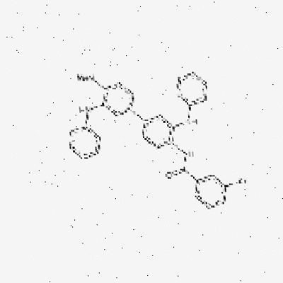 CNc1ccc(-c2ccc(NC(=O)c3cccc(C(C)=O)c3)c(Nc3ccccc3)c2)cc1Nc1ccccc1